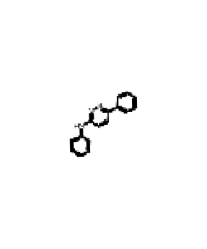 c1ccc(Nc2ccc(-c3ccccc3)nn2)cc1